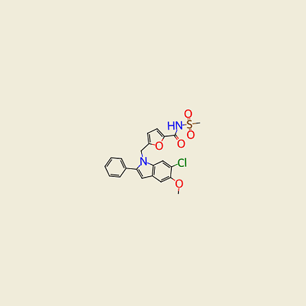 COc1cc2cc(-c3ccccc3)n(Cc3ccc(C(=O)NS(C)(=O)=O)o3)c2cc1Cl